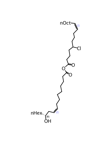 CCCCCCCC/C=C\CCCC(Cl)CCCC(=O)OC(=O)CCCCCCC/C=C\C[C@H](O)CCCCCC